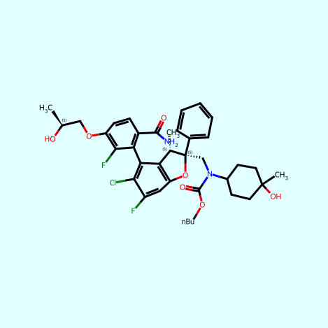 CCCCOC(=O)N(C[C@]1(c2ccccc2)Oc2cc(F)c(Cl)c(-c3c(C(N)=O)ccc(OC[C@H](C)O)c3F)c2[C@@H]1C)C1CCC(C)(O)CC1